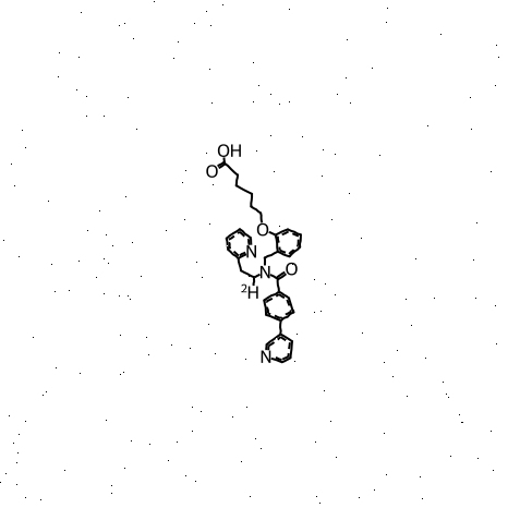 [2H]C(Cc1ccccn1)N(Cc1ccccc1OCCCCCC(=O)O)C(=O)c1ccc(-c2cccnc2)cc1